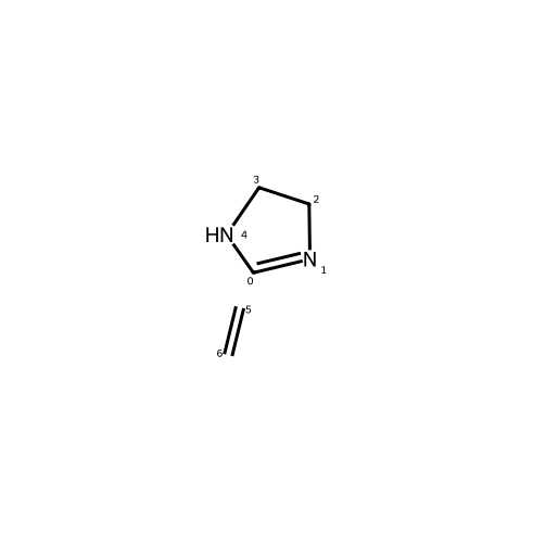 C1=NCCN1.C=C